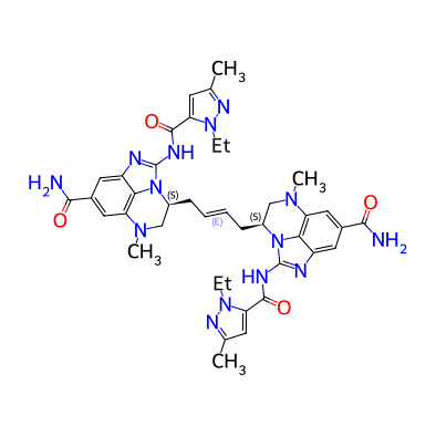 CCn1nc(C)cc1C(=O)Nc1nc2cc(C(N)=O)cc3c2n1[C@@H](C/C=C/C[C@H]1CN(C)c2cc(C(N)=O)cc4nc(NC(=O)c5cc(C)nn5CC)n1c24)CN3C